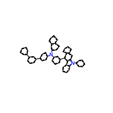 c1ccc(-c2cccc(-c3ccc(N(c4cccc(-c5c6ccccc6cc6c5c5ccccc5n6-c5ccccc5)c4)c4ccc5ccccc5c4)cc3)c2)cc1